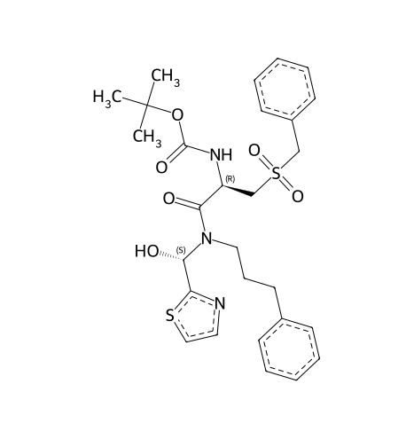 CC(C)(C)OC(=O)N[C@@H](CS(=O)(=O)Cc1ccccc1)C(=O)N(CCCc1ccccc1)[C@@H](O)c1nccs1